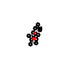 c1ccc(-n2c3ccccc3c3cc(-c4ccccc4N(c4ccc(-c5ccc6c(c5)C5(c7ccccc7-6)C6CC7CC8CC5C86C7)cc4)c4ccccc4-c4cccc5cccc(C6CCCCC6)c45)ccc32)cc1